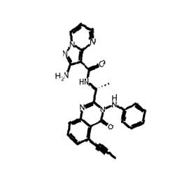 CC#Cc1cccc2nc([C@@H](C)NC(=O)c3c(N)nn4cccnc34)n(Nc3ccccc3)c(=O)c12